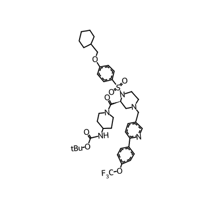 CC(C)(C)OC(=O)NC1CCN(C(=O)[C@@H]2CN(Cc3ccc(-c4ccc(OC(F)(F)F)cc4)nc3)CCN2S(=O)(=O)c2ccc(OCC3CCCCC3)cc2)CC1